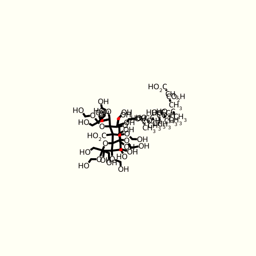 CC(=O)O.CC(=O)O.CC(=O)O.CC(=O)O.CC(=O)O.CC(=O)O.CC(=O)O.CC(=O)O.CC(=O)O.O=C(O)C(C(CO)(CO)OCO)(C(OC(CO)(CO)OCO)(C(CO)(CO)OCO)C(CO)(CO)OCO)C(OC(CO)(CO)OCO)(C(CO)(CO)OCO)C(CO)(CO)OCO